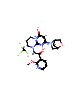 COc1ncccc1C(=O)CN1c2nc(N3CC4CC3CO4)cc(=O)n2CC[C@H]1C(F)(F)F